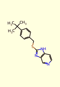 CC(C)(C)c1ccc(CSc2nc3cnccc3[nH]2)cc1